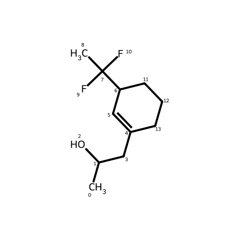 CC(O)CC1=CC(C(C)(F)F)CCC1